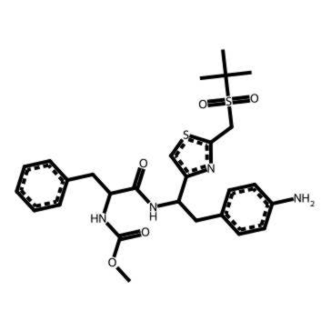 COC(=O)NC(Cc1ccccc1)C(=O)NC(Cc1ccc(N)cc1)c1csc(CS(=O)(=O)C(C)(C)C)n1